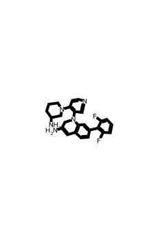 NC1=Cc2ccc(-c3c(F)cccc3F)cc2N(c2cnccc2N2CCCC(N)C2)C1